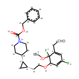 CC(C)(C)OC1(F)C(CC=O)=CC(F)=CC1OCC[C@@H]1C[C@@H]1C1CCN(C(=O)OCc2ccccc2)CC1